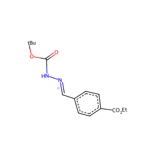 CCOC(=O)c1ccc(/C=N/NC(=O)OC(C)(C)C)cc1